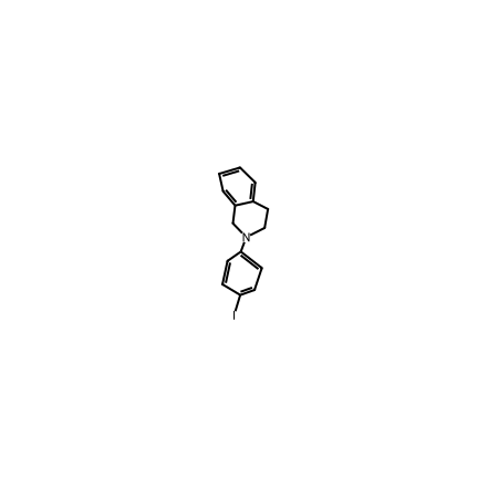 Ic1ccc(N2CCc3ccccc3C2)cc1